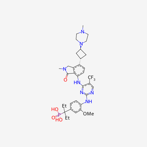 CCC(CC)(c1ccc(Nc2ncc(C(F)(F)F)c(Nc3ccc([C@H]4C[C@H](N5CCN(C)CC5)C4)c4c3C(=O)N(C)C4)n2)c(OC)c1)P(=O)(O)O